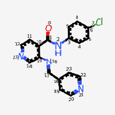 O=C(Nc1ccc(Cl)cc1)c1ccncc1/N=C/c1ccncc1